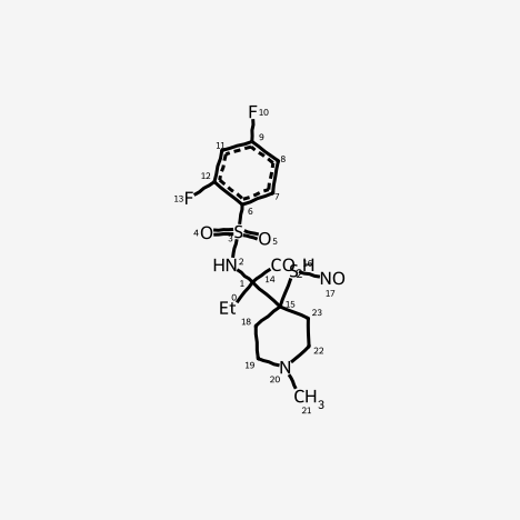 CCC(NS(=O)(=O)c1ccc(F)cc1F)(C(=O)O)C1(SN=O)CCN(C)CC1